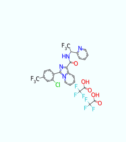 O=C(NC(c1ccccn1)C(F)(F)F)c1nc(-c2ccc(C(F)(F)F)cc2Cl)n2ccccc12.O=C(O)C(F)(F)F.O=C(O)C(F)(F)F